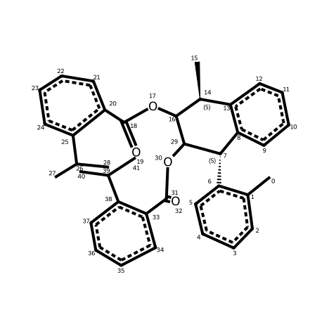 Cc1ccccc1[C@H]1c2ccccc2[C@H](C)C(OC(=O)c2ccccc2C(C)C)C1OC(=O)c1ccccc1C(C)C